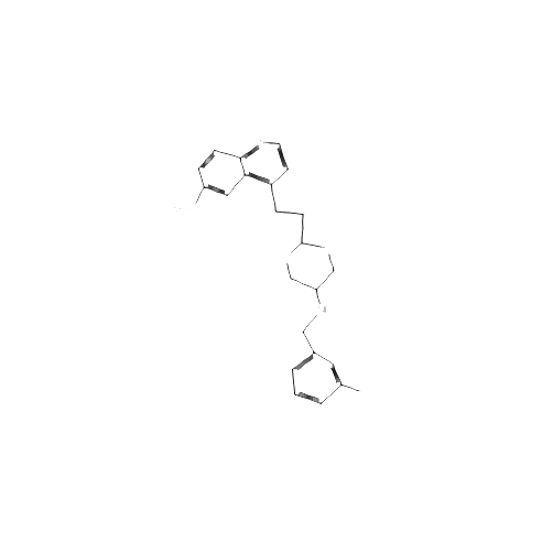 COc1ccc2nccc(CCC3OCC(NCc4cccc(Cl)c4)CO3)c2c1